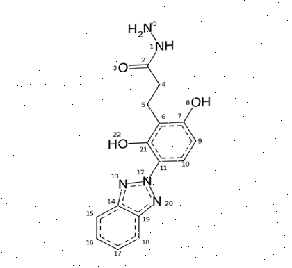 NNC(=O)CCc1c(O)ccc(-n2nc3ccccc3n2)c1O